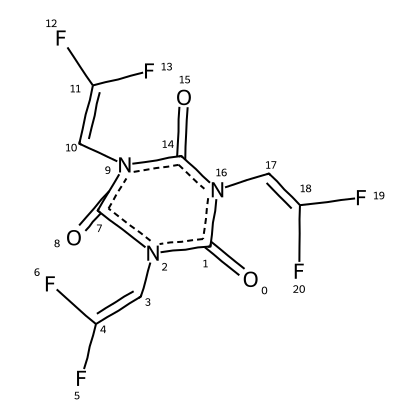 O=c1n(C=C(F)F)c(=O)n(C=C(F)F)c(=O)n1C=C(F)F